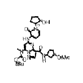 CO[C@@H]1CCC(NC(=O)c2cnn3c(N(C)C(=O)OC(C)(C)C)cc(Nc4cccn([C@@H]5CCC[C@@H]5O)c4=O)nc23)C1